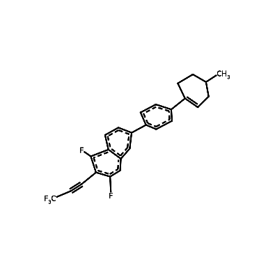 CC1CC=C(c2ccc(-c3ccc4c(F)c(C#CC(F)(F)F)c(F)cc4c3)cc2)CC1